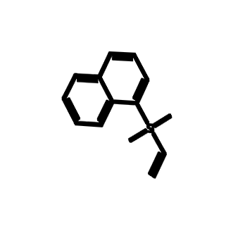 C=C[Si](C)(C)c1cccc2ccccc12